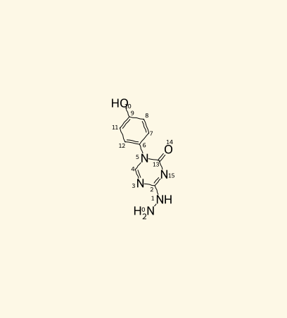 NNc1ncn(-c2ccc(O)cc2)c(=O)n1